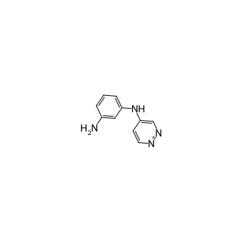 Nc1cccc(Nc2ccnnc2)c1